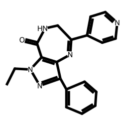 CCn1nc(-c2ccccc2)c2c1C(=O)NCC(c1ccncc1)=N2